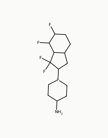 NC1CCP(C2CC3CCC(F)C(F)C3C2(F)F)CC1